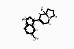 CC(C)c1ccc2[nH]cc(C3=CCN4CCC[C@H]4C3)c2c1